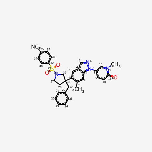 Cc1cc2c(cnn2-c2ccc(=O)n(C)c2)cc1C1(Cc2ccccc2)CCN(S(=O)(=O)c2ccc(C#N)cc2)C1